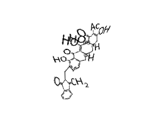 C=C1c2ccccc2C(=O)C1Cc1ccc2c(c1O)C(=O)C1=C(O)[C@@]3(O)C(=O)C(C(C)=O)=C(O)C[C@H]3C[C@H]1C2